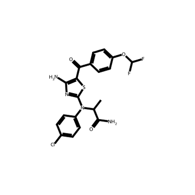 CC(C(N)=O)N(c1ccc(Cl)cc1)c1nc(N)c(C(=O)c2ccc(OC(F)F)cc2)s1